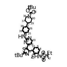 CCN(C)S(=O)(=O)Nc1cccc(-c2nc(C(C)(C)C)sc2-c2ccnc(Nc3ccc(C4CCN(C(=O)OC(C)(C)C)CC4)cc3)n2)c1F